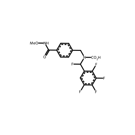 CONC(=O)c1ccc(CN(C(=O)O)C(F)c2cc(F)c(F)c(F)c2F)cc1